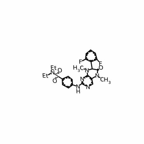 CCN(CC)S(=O)(=O)c1ccc(Nc2ncc3c(n2)N(C)C(c2c(F)cccc2F)C(=O)N3C)cc1